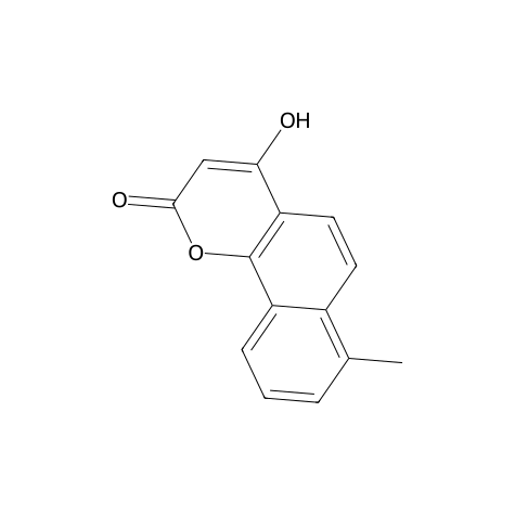 Cc1cccc2c1ccc1c(O)cc(=O)oc12